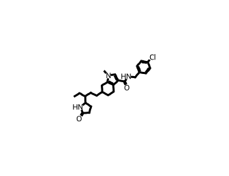 CCC(CCC1CCc2c(C(=O)NCc3ccc(Cl)cc3)cn(C)c2C1)C1CCC(=O)N1